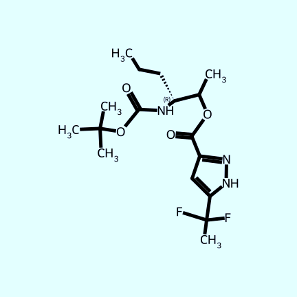 CCC[C@@H](NC(=O)OC(C)(C)C)C(C)OC(=O)c1cc(C(C)(F)F)[nH]n1